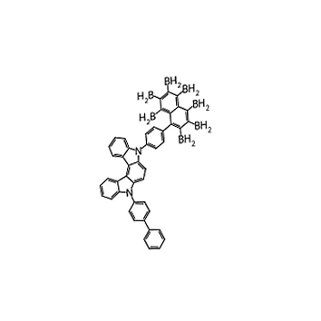 Bc1c(B)c(B)c2c(-c3ccc(-n4c5ccccc5c5c6c7ccccc7n(-c7ccc(-c8ccccc8)cc7)c6ccc54)cc3)c(B)c(B)c(B)c2c1B